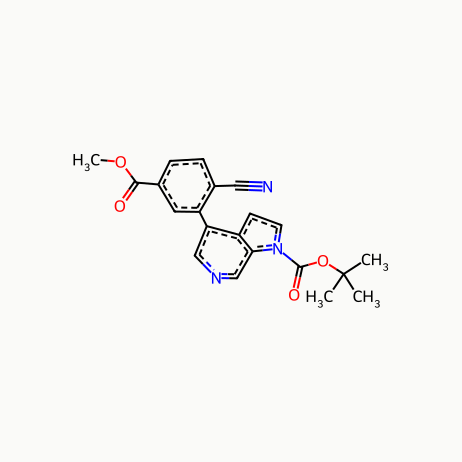 COC(=O)c1ccc(C#N)c(-c2cncc3c2ccn3C(=O)OC(C)(C)C)c1